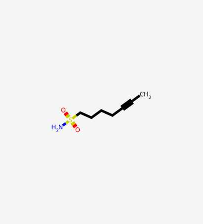 CC#CCCCCS(N)(=O)=O